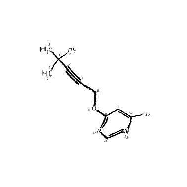 CC(C)(C)C#CCOc1cc(Cl)ncn1